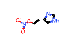 C=CO[N+](=O)[O-].c1c[nH]cn1